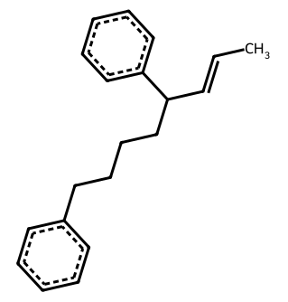 CC=CC(CCCCc1ccccc1)c1ccccc1